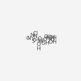 O=P(O)(O)CP(=O)(O)OC[C@H]1O[C@@H](c2csc3c(N4CCCC4)nc(Cl)nc23)[C@H](O)[C@@H]1O